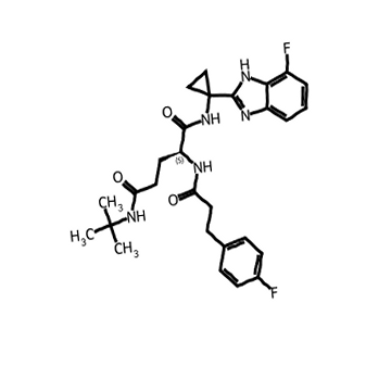 CC(C)(C)NC(=O)CC[C@H](NC(=O)CCc1ccc(F)cc1)C(=O)NC1(c2nc3cccc(F)c3[nH]2)CC1